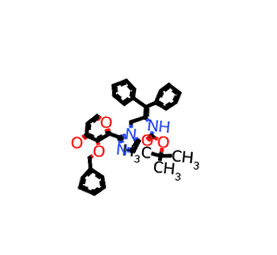 CC(C)(C)OC(=O)NC(Cn1ccnc1-c1occc(=O)c1OCc1ccccc1)=C(c1ccccc1)c1ccccc1